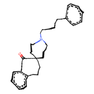 O=C1c2ccccc2CCC12CCN(CCCc1ccccc1)CC2